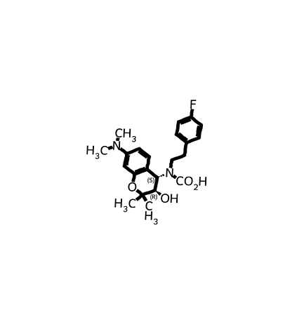 CN(C)c1ccc2c(c1)OC(C)(C)[C@H](O)[C@H]2N(CCc1ccc(F)cc1)C(=O)O